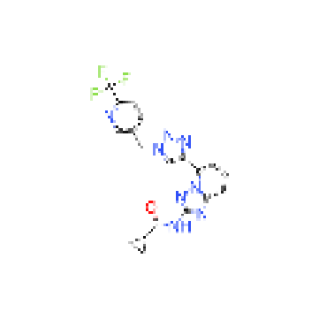 O=C(Nc1nc2cccc(-c3cn(Cc4ccc(C(F)(F)F)nc4)nn3)n2n1)C1CC1